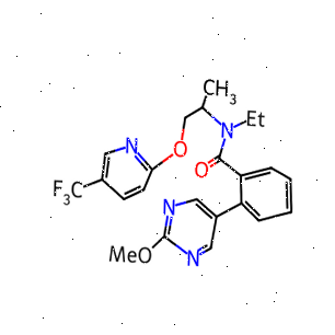 CCN(C(=O)c1ccccc1-c1cnc(OC)nc1)C(C)COc1ccc(C(F)(F)F)cn1